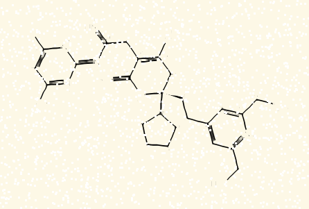 CCc1cc(CC[C@]2(C3CCCC3)CC(O)=C(CC(=N)/N=c3/nc(C)cc(C)[nH]3)C(=O)O2)cc(CC)n1